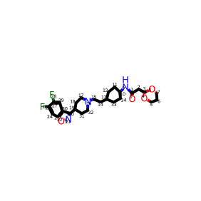 O=C(CC1OCCCO1)NC1CCC(CCN2CCC(c3noc4cc(F)c(F)cc34)CC2)CC1